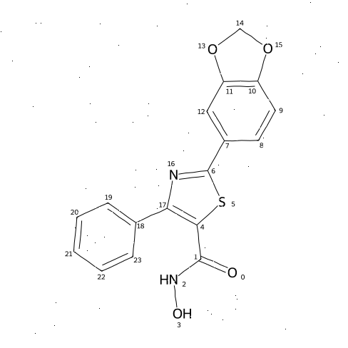 O=C(NO)c1sc(-c2ccc3c(c2)OCO3)nc1-c1ccccc1